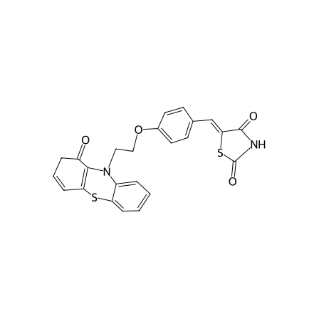 O=C1NC(=O)C(=Cc2ccc(OCCN3C4=C(C=CCC4=O)Sc4ccccc43)cc2)S1